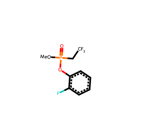 COP(=O)(CC(F)(F)F)Oc1ccccc1F